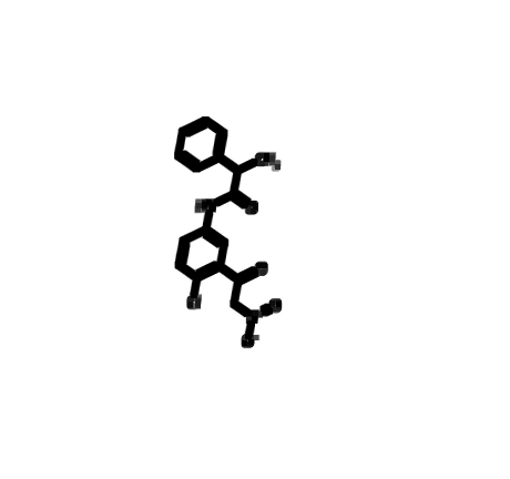 CC(C(=O)Nc1ccc(Cl)c(C(=O)C[N+](=O)[O-])c1)c1ccccc1